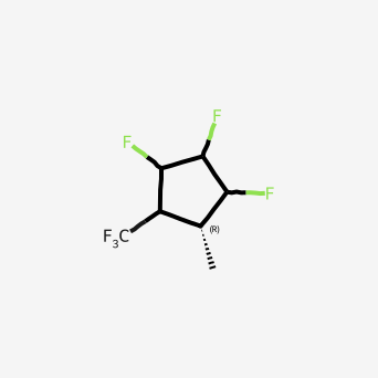 C[C@H]1C(F)C(F)C(F)C1C(F)(F)F